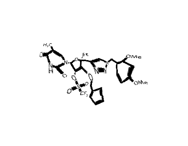 CC[C@@]1(c2cn(Cc3ccc(OC)cc3OC)nn2)O[C@@H](n2cc(C)c(=O)[nH]c2=O)[C@@H](OS(=O)(=O)C(F)(F)F)C1OCc1ccccc1